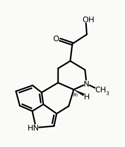 CN1CC(C(=O)CO)CC2c3cccc4[nH]cc(c34)C[C@H]21